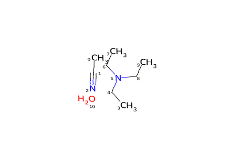 CC#N.CCN(CC)CC.O